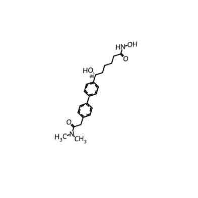 CN(C)C(=O)Cc1ccc(-c2ccc([C@H](O)CCCCC(=O)NO)cc2)cc1